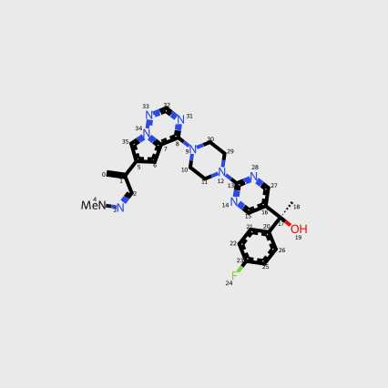 C=C(/C=N\NC)c1cc2c(N3CCN(c4ncc([C@@](C)(O)c5ccc(F)cc5)cn4)CC3)ncnn2c1